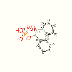 O=P(O)(O)OC(c1ccccc1)C(O)c1ccccc1